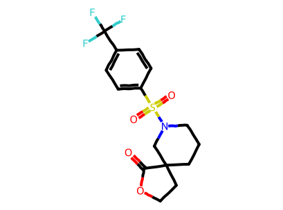 O=C1OCCC12CCCN(S(=O)(=O)c1ccc(C(F)(F)F)cc1)C2